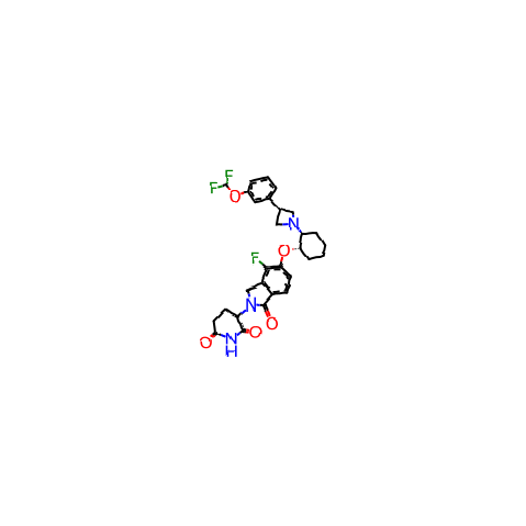 O=C1CCC(N2Cc3c(ccc(O[C@H]4CCCC[C@@H]4N4CC(c5cccc(OC(F)F)c5)C4)c3F)C2=O)C(=O)N1